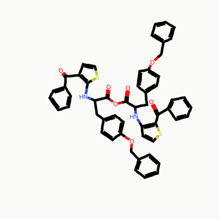 O=C(c1ccccc1)c1ccsc1NC(Cc1ccc(OCc2ccccc2)cc1)C(=O)OC(=O)C(Cc1ccc(OCc2ccccc2)cc1)Nc1ccsc1C(=O)c1ccccc1